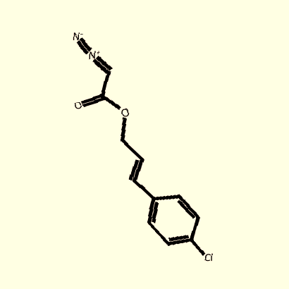 [N-]=[N+]=CC(=O)OCC=Cc1ccc(Cl)cc1